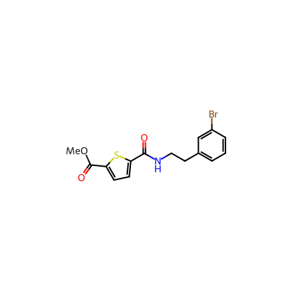 COC(=O)c1ccc(C(=O)NCCc2cccc(Br)c2)s1